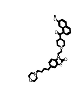 COc1ccc2cccc(C(=O)C3CCN(CCn4c(=O)sc5cc(CCCCN6CCOCC6)ccc54)CC3)c2c1